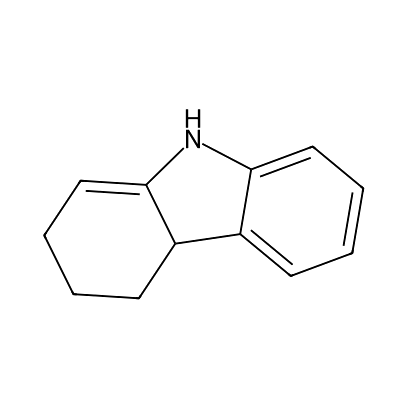 C1=C2Nc3ccccc3C2CCC1